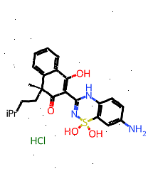 CC(C)CC[C@@]1(C)C(=O)C(C2=NS(O)(O)c3cc(N)ccc3N2)=C(O)c2ccccc21.Cl